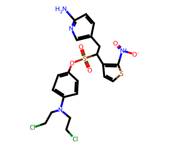 Nc1ccc(CC(c2ccsc2[N+](=O)[O-])S(=O)(=O)Oc2ccc(N(CCCl)CCCl)cc2)cn1